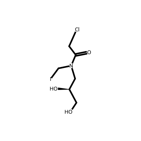 O=C(CCl)N(CI)C[C@H](O)CO